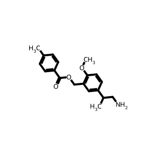 COc1ccc(C(C)CN)cc1COC(=O)c1ccc(C)cc1